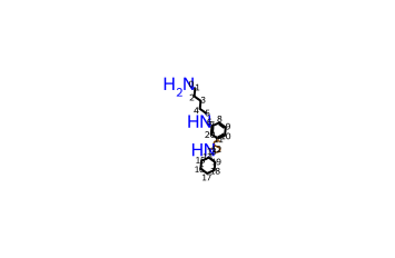 NCCCCCNc1cccc(SNC2CCCCC2)c1